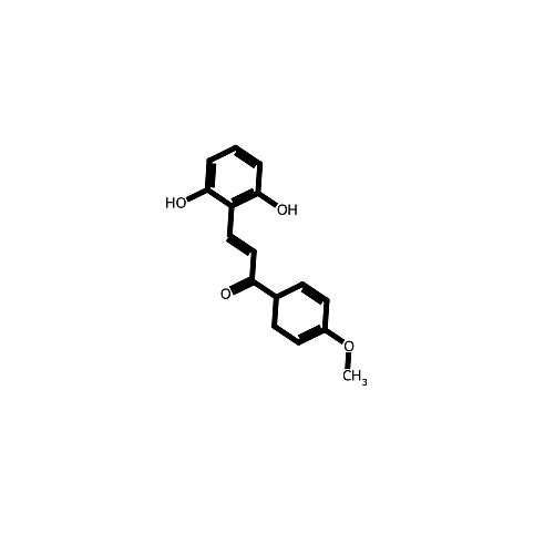 COC1=CCC(C(=O)C=Cc2c(O)cccc2O)C=C1